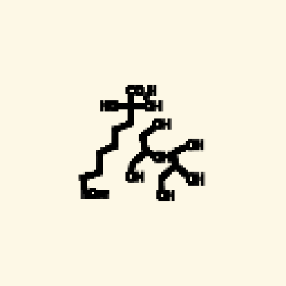 CCCCCCCCCCCCCCCCC(O)(O)C(=O)O.OCC(O)CO.OCC(O)CO